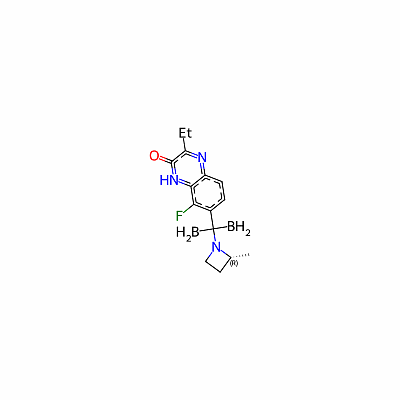 BC(B)(c1ccc2nc(CC)c(=O)[nH]c2c1F)N1CC[C@H]1C